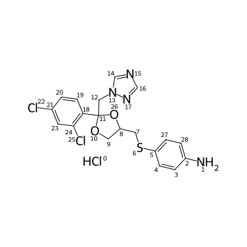 Cl.Nc1ccc(SCC2COC(Cn3cncn3)(c3ccc(Cl)cc3Cl)O2)cc1